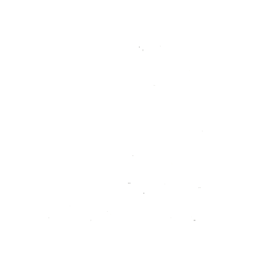 Cc1ccc(C(=O)NCC2(Cc3ccc(-c4ccc5c(cnn5C)c4)cc3)CC2)cn1